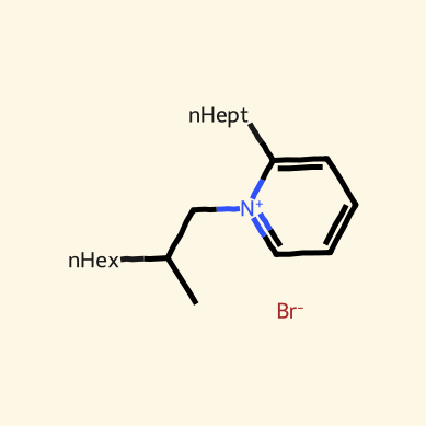 CCCCCCCc1cccc[n+]1CC(C)CCCCCC.[Br-]